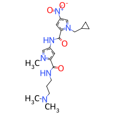 CN(C)CCCNC(=O)c1cc(NC(=O)c2cc([N+](=O)[O-])cn2CC2CC2)cn1C